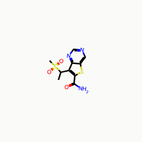 CC(c1c(C(N)=O)sc2cncnc12)S(C)(=O)=O